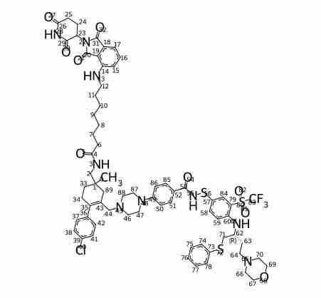 CC1(CNC(=O)CCCCCCCNc2cccc3c2C(=O)N(C2CCC(=O)NC2=O)C3=O)CCC(c2ccc(Cl)cc2)=C(CN2CCN(c3ccc(C(=O)NSc4ccc(N[C@H](CCN5CCOCC5)CSc5ccccc5)c(S(=O)(=O)C(F)(F)F)c4)cc3)CC2)C1